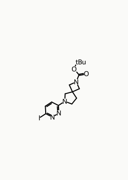 CC(C)(C)OC(=O)N1CC2(CCN(c3ccc(I)nn3)C2)C1